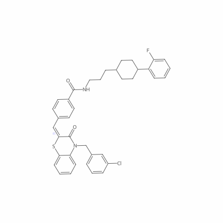 O=C(NCCCC1CCC(c2ccccc2F)CC1)c1ccc(/C=C2/Sc3ccccc3N(Cc3cccc(Cl)c3)C2=O)cc1